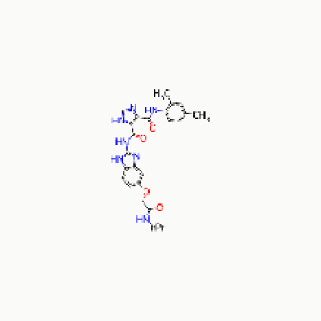 CCCNC(=O)COc1ccc2[nH]c(NC(=O)c3[nH]cnc3C(=O)Nc3ccc(C)cc3C)nc2c1